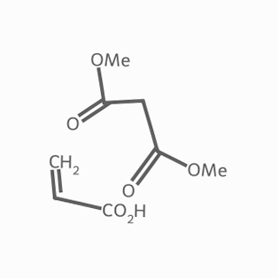 C=CC(=O)O.COC(=O)CC(=O)OC